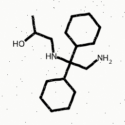 CC(O)CNC(CN)(C1CCCCC1)C1CCCCC1